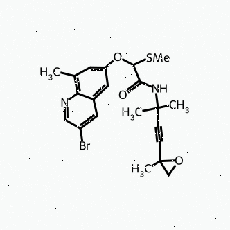 CSC(Oc1cc(C)c2ncc(Br)cc2c1)C(=O)NC(C)(C)C#CC1(C)CO1